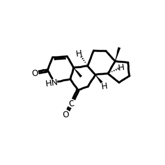 C[C@@]12CCC[C@H]1[C@@H]1CC(=C=O)C3NC(=O)C=C[C@]3(C)[C@H]1CC2